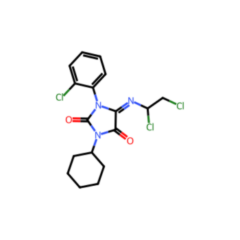 O=C1/C(=N\C(Cl)CCl)N(c2ccccc2Cl)C(=O)N1C1CCCCC1